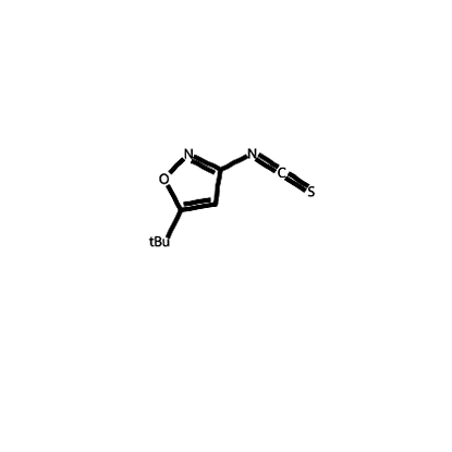 CC(C)(C)c1cc(N=C=S)no1